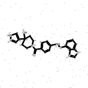 O=C(c1ccc(NSc2cccc3scnc23)cc1)N1CCC(O)(c2cn[nH]c2)CC1